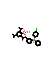 CC(C)c1cc(C(C)C)c(S(=O)(=O)O)c(C(C)Cc2cccc([SH](c3ccccc3)c3ccc(F)cc3)c2)c1